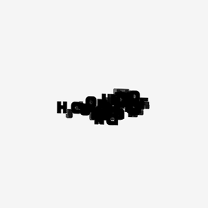 CCOC(=O)c1cnn2c(Cl)c(C(=O)C3CC4(CCN3)COc3c(F)cccc34)cnc12